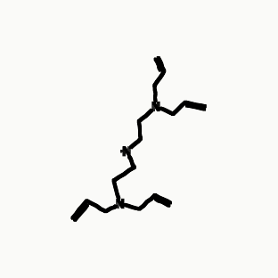 C=CCN(CC=C)CC[N]CCN(CC=C)CC=C